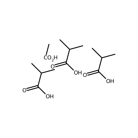 CC(=O)O.CC(C)C(=O)O.CC(C)C(=O)O.CC(C)C(=O)O